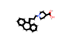 O=C(O)C1CCN(CCC=C2c3ccccc3CCc3ccccc32)CC1